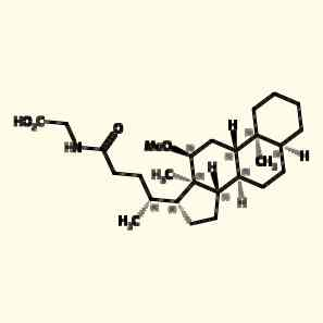 CO[C@H]1C[C@H]2[C@@H](CC[C@@H]3CCCC[C@@]32C)[C@@H]2CC[C@H]([C@H](C)CCC(=O)NCC(=O)O)[C@@]12C